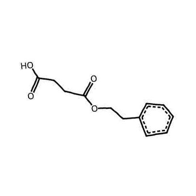 O=C(O)CCC(=O)OCCc1ccccc1